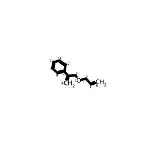 C=CCOCC(=C)c1ccccc1